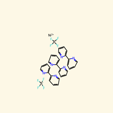 F[B-](F)(F)F.F[B-](F)(F)F.[Ni+2].c1ccc(-c2ccccn2)nc1.c1ccc(-c2ccccn2)nc1.c1ccc(-c2ccccn2)nc1